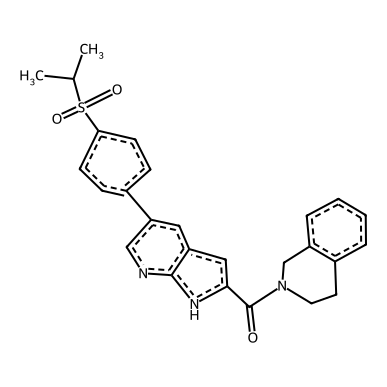 CC(C)S(=O)(=O)c1ccc(-c2cnc3[nH]c(C(=O)N4CCc5ccccc5C4)cc3c2)cc1